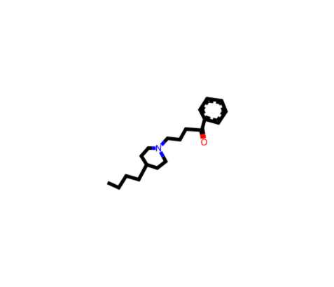 CCCCC1CCN(CCCC(=O)c2ccccc2)CC1